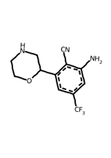 N#Cc1c(N)cc(C(F)(F)F)cc1C1CNCCO1